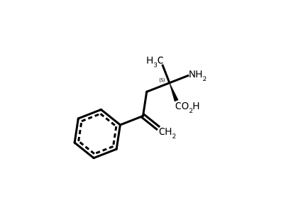 C=C(C[C@](C)(N)C(=O)O)c1ccccc1